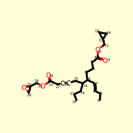 CCC=CC(CCCC(=O)OCC1CC1)C(CCC)CCCCC(=O)OCC1CO1